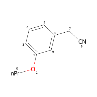 CCCOc1cccc(CC#N)c1